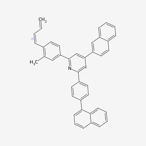 C=C/C=C\c1ccc(C2=NC(c3ccc(-c4cccc5ccccc45)cc3)=IC(c3ccc4ccccc4c3)=C2)cc1C